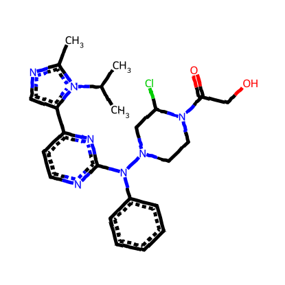 Cc1ncc(-c2ccnc(N(c3ccccc3)N3CCN(C(=O)CO)C(Cl)C3)n2)n1C(C)C